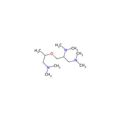 CC(CN(C)C)OCC(CN(C)C)N(C)C